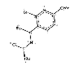 COc1ccc(C(N[S@+]([O-])C(C)(C)C)C(C)C)c(Br)n1